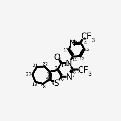 O=c1c2c3c(sc2nc(C(F)(F)F)n1-c1ccc(C(F)(F)F)nc1)CCCCC3